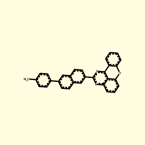 Cc1ccc(-c2ccc3cc(-c4nc5c6c(cccc6n4)Oc4ccccc4-5)ccc3c2)cc1